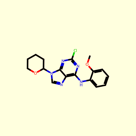 COc1ccccc1Nc1nc(Cl)nc2c1ncn2C1CCCCO1